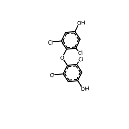 Oc1cc(Cl)c(Oc2c(Cl)cc(O)cc2Cl)c(Cl)c1